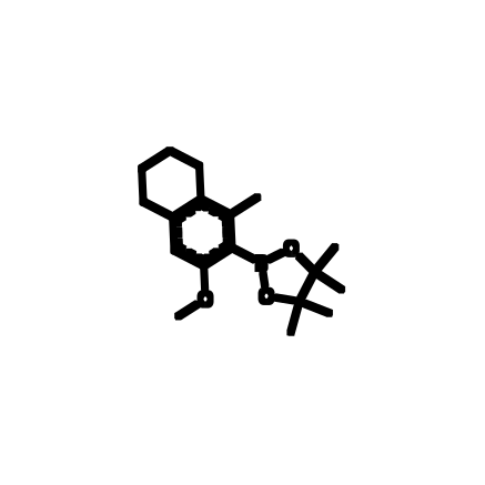 COc1cc2c(c(C)c1B1OC(C)(C)C(C)(C)O1)CCCC2